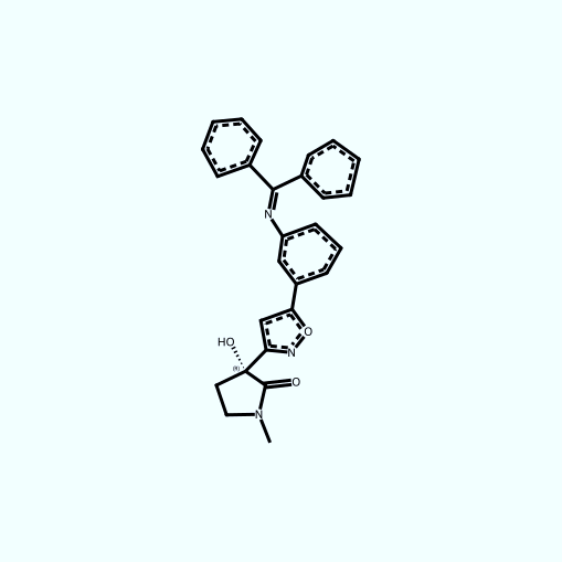 CN1CC[C@@](O)(c2cc(-c3cccc(N=C(c4ccccc4)c4ccccc4)c3)on2)C1=O